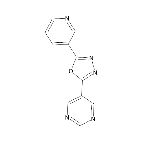 c1cncc(-c2nnc(-c3cncnc3)o2)c1